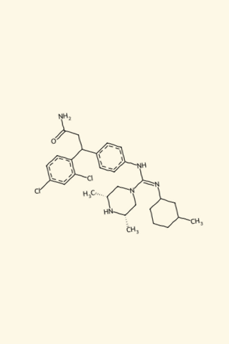 CC1CCCC(/N=C(/Nc2ccc(C(CC(N)=O)c3ccc(Cl)cc3Cl)cc2)N2C[C@@H](C)N[C@@H](C)C2)C1